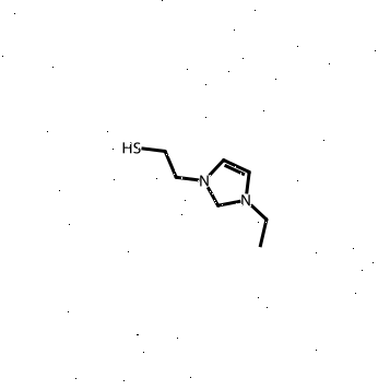 CCN1C=CN(CCS)C1